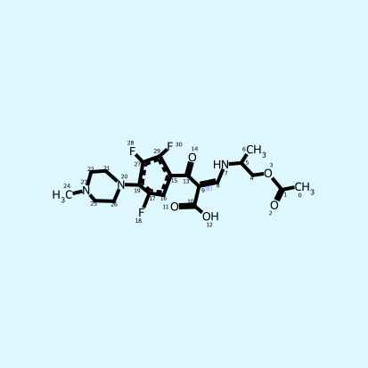 CC(=O)OCC(C)N/C=C(/C(=O)O)C(=O)c1cc(F)c(N2CCN(C)CC2)c(F)c1F